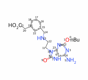 CCCCOc1nc(N)c2[nH]c(=O)n(CCNCc3cccc(CC(=O)O)c3)c2n1